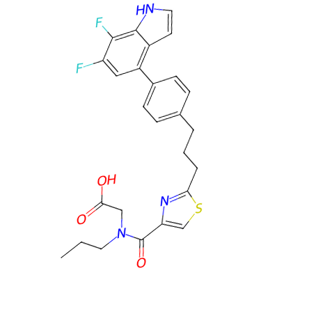 CCCN(CC(=O)O)C(=O)c1csc(CCCc2ccc(-c3cc(F)c(F)c4[nH]ccc34)cc2)n1